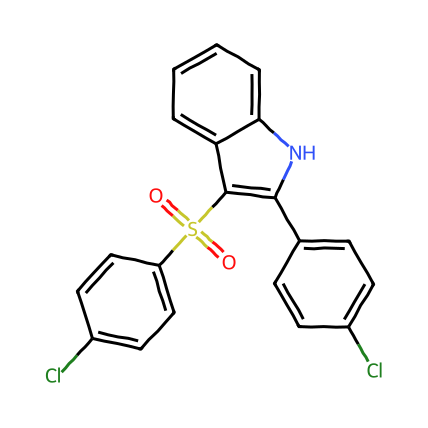 O=S(=O)(c1ccc(Cl)cc1)c1c(-c2ccc(Cl)cc2)[nH]c2ccccc12